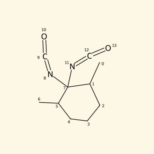 CC1CCCC(C)C1(N=C=O)N=C=O